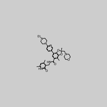 CCN1CCN(c2ccc(-c3cc(C(=O)NCc4c(C)cc(C)[nH]c4=O)c(C)c4c3O[C@](C)(CN3CCOCC3)O4)cn2)CC1